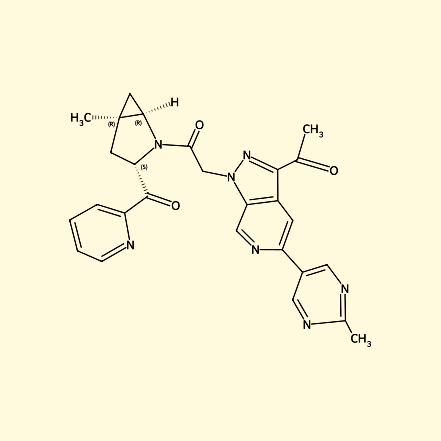 CC(=O)c1nn(CC(=O)N2[C@H](C(=O)c3ccccn3)C[C@@]3(C)C[C@@H]23)c2cnc(-c3cnc(C)nc3)cc12